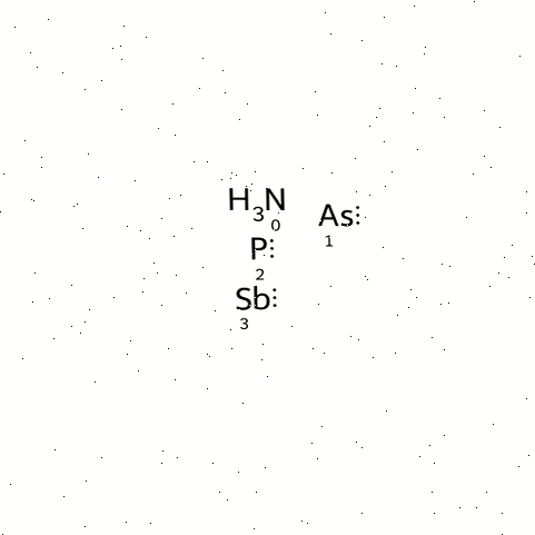 N.[As].[P].[Sb]